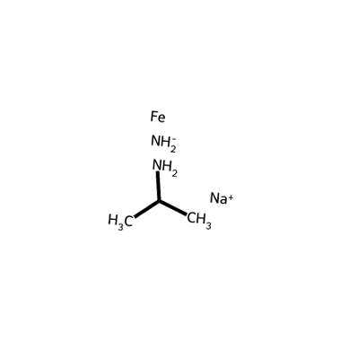 CC(C)N.[Fe].[NH2-].[Na+]